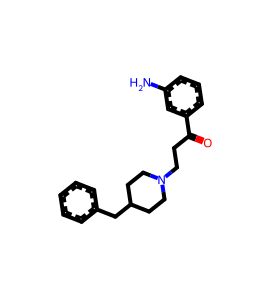 Nc1cccc(C(=O)CCN2CCC(Cc3ccccc3)CC2)c1